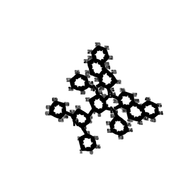 c1ccc(-c2cc(-c3cc4c5c(c3)N(c3ccccc3)c3c(ccc6c3ccc3ccccc36)B5c3ccc5c(ccc6ccccc65)c3N4c3ccccc3)cc(-c3ccccc3)n2)cc1